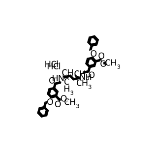 COC(=O)c1cc(C(=O)CNC(C)(C)CCC(C)(C)NCC(=O)c2ccc(OCc3ccccc3)c(C(=O)OC)c2)ccc1OCc1ccccc1.Cl.Cl